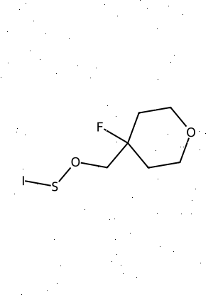 FC1(COSI)CCOCC1